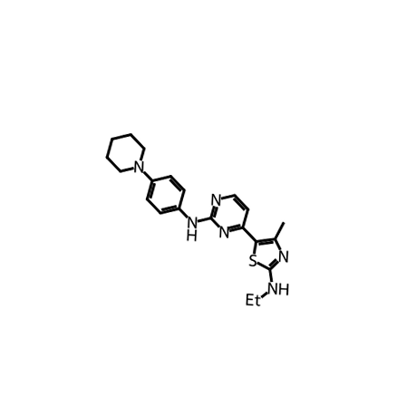 CCNc1nc(C)c(-c2ccnc(Nc3ccc(N4CCCCC4)cc3)n2)s1